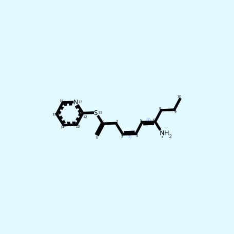 C=C(C/C=C\C=C(/N)CCC)Sc1ccccn1